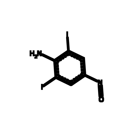 Nc1c(I)cc(N=O)cc1I